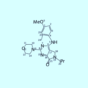 COc1ccc(Nc2nc(N3CCOCC3)nc3c2CN(C(C)C)C3=O)c(C)c1